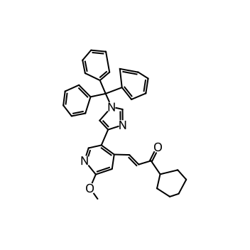 COc1cc(/C=C/C(=O)C2CCCCC2)c(-c2cn(C(c3ccccc3)(c3ccccc3)c3ccccc3)cn2)cn1